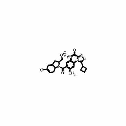 COCC1CC2=CC(Cl)=CCC2N1C(=O)c1cc2[nH]c(=O)c3nnc(C4CCC4)n3c2cc1C